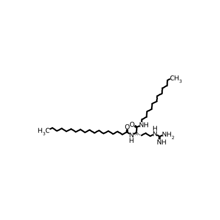 CCCCCCCCCCCCCCCCCC(=O)N[C@@H](CCCNC(=N)N)C(=O)NCCCCCCCCCCCC